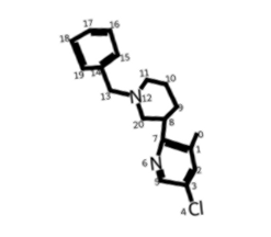 Cc1cc(Cl)cnc1C1CCCN(Cc2ccccc2)C1